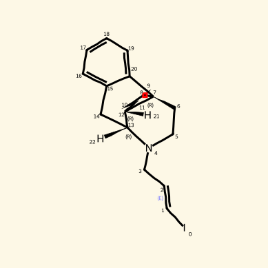 I/C=C/CN1CC[C@]23CCCC[C@H]2[C@H]1Cc1ccccc13